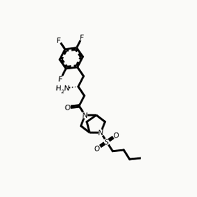 CCCCS(=O)(=O)N1CC2CC1CN2C(=O)C[C@H](N)Cc1cc(F)c(F)cc1F